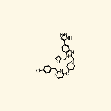 Clc1ccc(Cc2nccc(OC3CCN(Cc4nc5cc(-c6cnn[nH]6)ccc5n4C[C@@H]4CCO4)CC3)n2)cc1